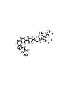 CN(C(=O)OC(C)(C)C)C1CCN(c2ccc(-c3ccc4ncc5nnc(CN6CCOCC6)n5c4c3)cc2)CC1